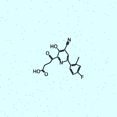 Cc1cc(F)ccc1-c1cc(C#N)c(O)c(C(=O)CCC(=O)O)n1